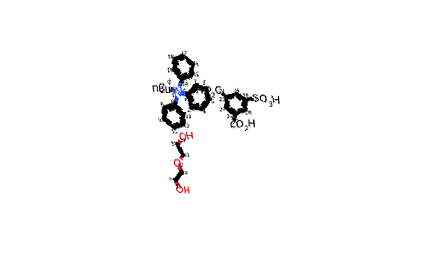 CCCC[N+](c1ccccc1)(c1ccccc1)c1ccccc1.O=C(O)c1cc(C(=O)O)cc(S(=O)(=O)O)c1.OCCOCCO